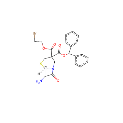 NC1C(=O)N2CC(C(=O)OCCBr)(C(=O)OC(c3ccccc3)c3ccccc3)CS[C@H]12